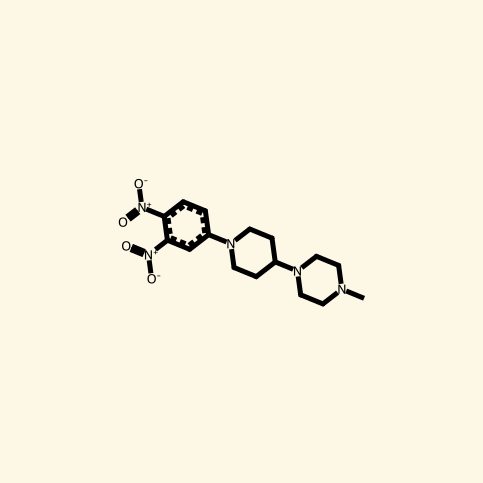 CN1CCN(C2CCN(c3ccc([N+](=O)[O-])c([N+](=O)[O-])c3)CC2)CC1